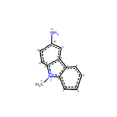 Cn1c2ccccc2c2cc(N)ccc21